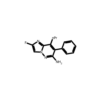 CCCc1c(-c2ccccc2)c(N)nn2cc(F)nc12